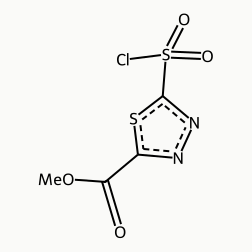 COC(=O)c1nnc(S(=O)(=O)Cl)s1